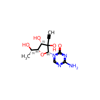 C#CC1(O)[C@@H](O)[C@@H]([C@H](C)O)O[C@H]1n1cnc(N)nc1=O